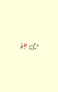 CCC(Cc1ccccc1C)B1OC(C)(C)C(C)(C)O1